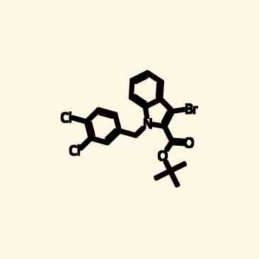 CC(C)(C)OC(=O)c1c(Br)c2ccccc2n1Cc1ccc(Cl)c(Cl)c1